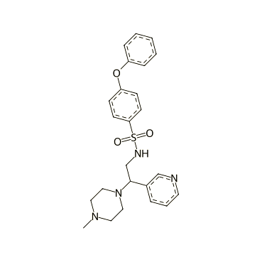 CN1CCN(C(CNS(=O)(=O)c2ccc(Oc3ccccc3)cc2)c2cccnc2)CC1